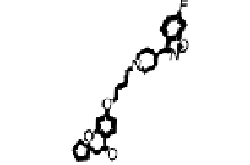 O=C1CC2(CCCC2)Oc2cc(OC/C=C/CN3CCC(c4noc5cc(F)ccc45)CC3)ccc21